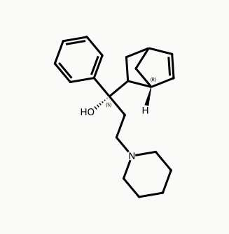 O[C@](CCN1CCCCC1)(c1ccccc1)C1CC2C=C[C@H]1C2